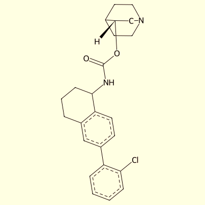 O=C(NC1CCCc2cc(-c3ccccc3Cl)ccc21)O[C@H]1CN2CCC1CC2